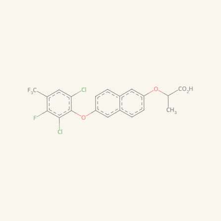 CC(Oc1ccc2cc(Oc3c(Cl)cc(C(F)(F)F)c(F)c3Cl)ccc2c1)C(=O)O